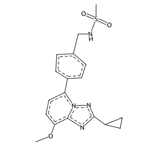 COc1ccc(-c2ccc(CNS(C)(=O)=O)cc2)n2nc(C3CC3)nc12